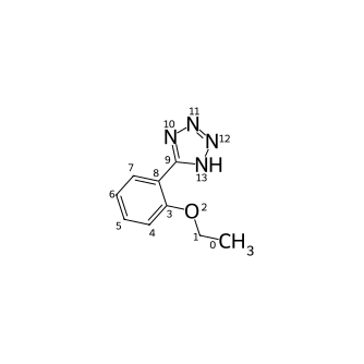 CCOc1ccccc1-c1nnn[nH]1